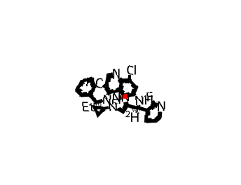 [2H][C@@](Nc1cc(Cl)c2ncc(C#N)c(N[C@H](CC)c3ccccc3)c2c1)(c1cn(C2CC2)nn1)c1cccnc1F